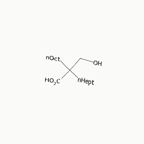 CCCCCCCCC(CO)(CCCCCCC)C(=O)O